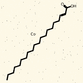 CCCCCCCCCCCCCCCCCC=CC(=O)O.[Co]